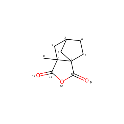 CC12CC3CCC1(C3)C(=O)OC2=O